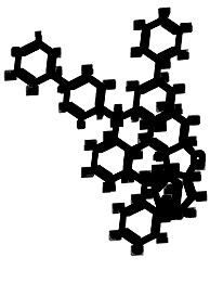 c1ccc(-c2ccc(N(c3cccc(-c4ccccc4)c3)c3cccc(-c4cccc5ccccc45)c3-c3cccc4oc5ccccc5c34)cc2)cc1